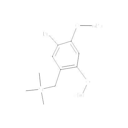 CCCCOc1cc(OCCCC)c(C[Si](C)(C)C)cc1Br